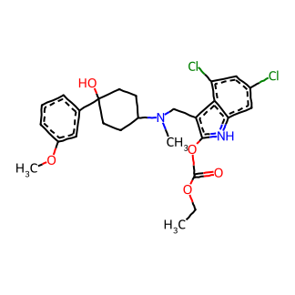 CCOC(=O)Oc1[nH]c2cc(Cl)cc(Cl)c2c1CN(C)C1CCC(O)(c2cccc(OC)c2)CC1